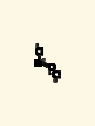 [C].[O]=[Bi][Cl]